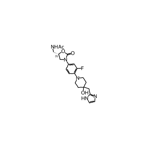 CC(=O)NC[C@H]1CN(c2ccc(N3CCC(O)(Cc4ncc[nH]4)CC3)c(F)c2)C(=O)O1